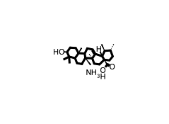 C[C@H]1[C@H](C)CC[C@]2(C(=O)O)CC[C@]3(C)C(=CCC4[C@@]5(C)CC[C@H](O)C(C)(C)C5CC[C@]43C)[C@H]12.N